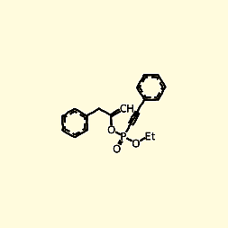 C=C(Cc1ccccc1)OP(=O)(C#Cc1ccccc1)OCC